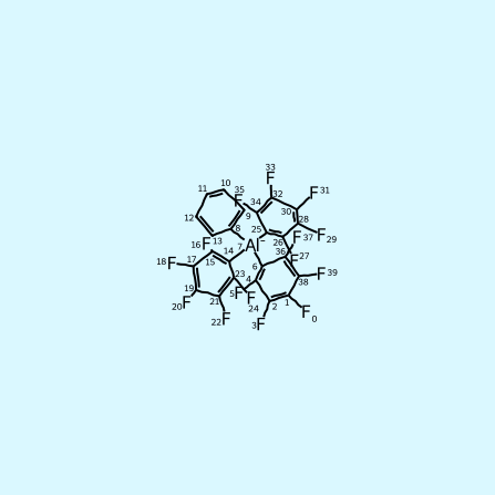 Fc1c(F)c(F)[c]([Al-]([c]2ccccc2)([c]2c(F)c(F)c(F)c(F)c2F)[c]2c(F)c(F)c(F)c(F)c2F)c(F)c1F